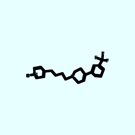 [O-][n+]1ccc(CCCCN2CC=C(c3cccc(C(F)(F)F)c3)CC2)cc1